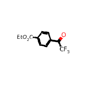 CCOC(=O)c1ccc(C(=O)C(F)(F)F)cc1